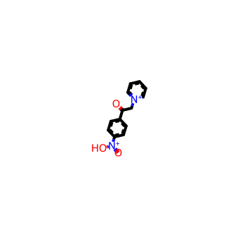 O=C(C[n+]1ccccc1)c1ccc([N+](=O)O)cc1